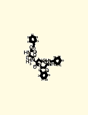 CC1C[C@H](NC(=O)[C@H](C)NC(=O)OCc2ccccc2)C(=O)N1[C@@H](Cc1ccccc1)C(=O)C(=O)NCc1ccccc1